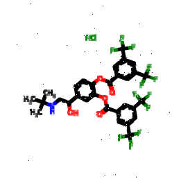 CC(C)(C)NCC(O)c1ccc(OC(=O)c2cc(C(F)(F)F)cc(C(F)(F)F)c2)c(OC(=O)c2cc(C(F)(F)F)cc(C(F)(F)F)c2)c1.Cl